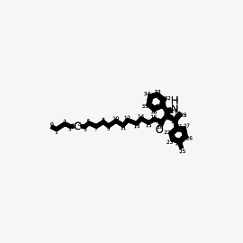 CCCCCCCCCCCCCCCCCC(=O)c1c(-c2ccc(C)cc2)c[nH]c1-c1ccccc1